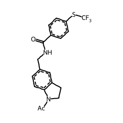 CC(=O)N1CCc2cc(CNC(=O)c3ccc(SC(F)(F)F)cc3)ccc21